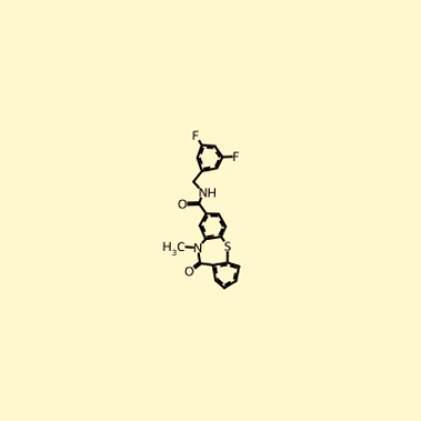 CN1C(=O)c2ccccc2Sc2ccc(C(=O)NCc3cc(F)cc(F)c3)cc21